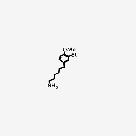 CCc1cc(CCCCCCN)ccc1OC